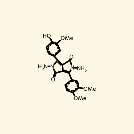 COc1cc(C2=C3C(=O)N(N)C(c4ccc(OC)c(OC)c4)=C3C(=O)N2N)ccc1O